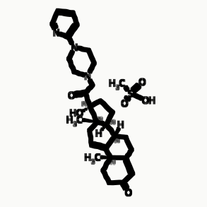 CS(=O)(=O)O.C[C@]12CCC(=O)C=C1CC[C@@H]1C2=CC[C@@]2(C)[C@H]1CC[C@]2(O)C(=O)CN1CCN(c2ccccn2)CC1